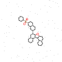 O=S(=O)(c1ccccc1)c1ccc2ccc(-c3cc4ccccc4c4c3oc3ccc5ccccc5c34)cc2c1